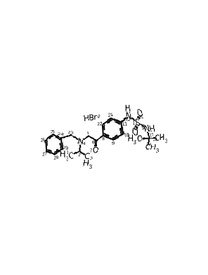 Br.CC(C)N(CC(=O)c1ccc(NS(=O)(=O)NC(C)(C)C)cc1)Cc1ccccc1